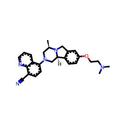 C[C@@H]1CN(c2ccc(C#N)c3ncccc23)C[C@@H]2c3ccc(OCCN(C)C)cc3CN12